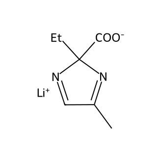 CCC1(C(=O)[O-])N=CC(C)=N1.[Li+]